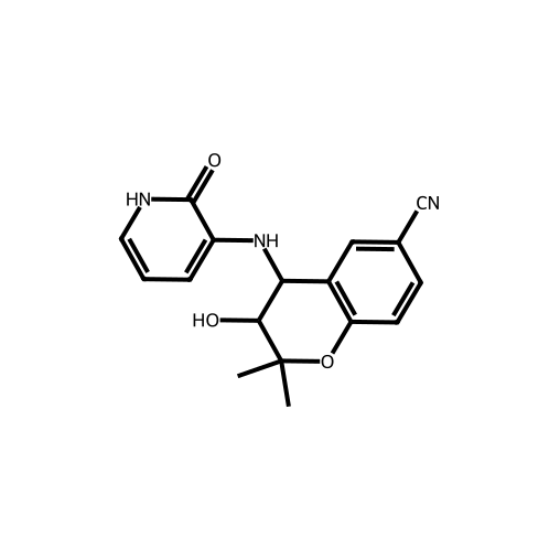 CC1(C)Oc2ccc(C#N)cc2C(Nc2ccc[nH]c2=O)C1O